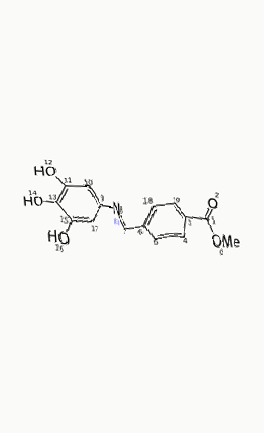 COC(=O)c1ccc(/C=N/c2cc(O)c(O)c(O)c2)cc1